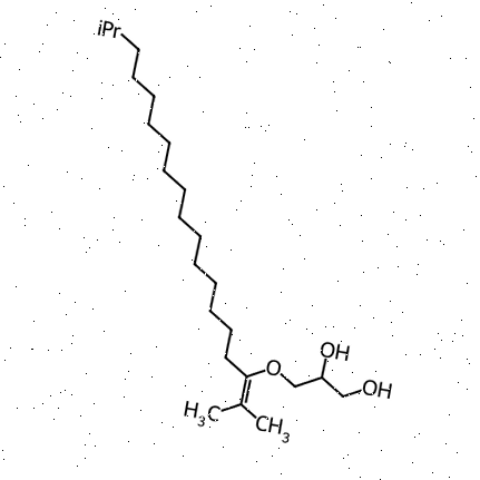 CC(C)=C(CCCCCCCCCCCCCCC(C)C)OCC(O)CO